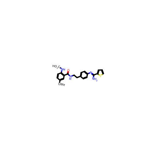 COc1ccc(NC(=O)O)c(C(=O)NCCc2ccc(/N=C(\N)c3cccs3)cc2)c1